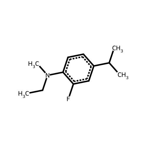 CCN(C)c1ccc(C(C)C)cc1F